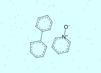 [O-][n+]1ccccc1.c1ccc(-c2ccccc2)cc1